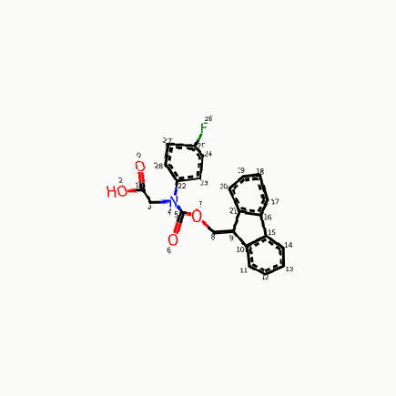 O=C(O)CN(C(=O)OCC1c2ccccc2-c2ccccc21)c1ccc(F)cc1